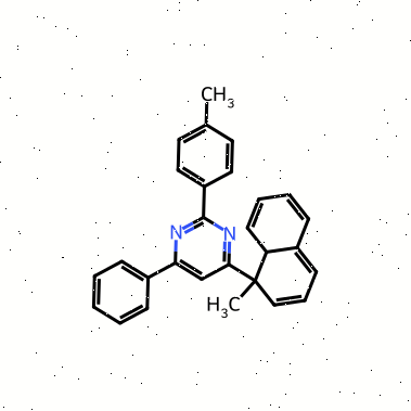 Cc1ccc(-c2nc(-c3ccccc3)cc(C3(C)C=CC=C4C=CC=CC43)n2)cc1